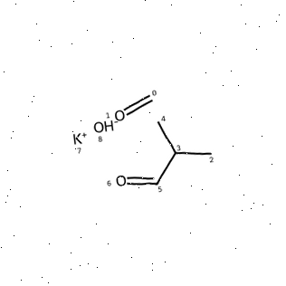 C=O.CC(C)C=O.[K+].[OH-]